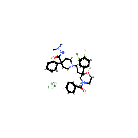 CN(C)NC(=O)C1(c2ccccc2)CCN(CCC2(c3ccc(F)c(F)c3)CN(C(=O)c3ccccc3)CCO2)CC1.Cl.Cl